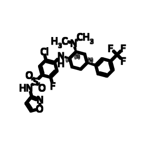 CN(C)[C@H]1C[C@@H](c2cccc(C(F)(F)F)c2)CC[C@@H]1Nc1cc(F)c(S(=O)(=O)Nc2ccon2)cc1Cl